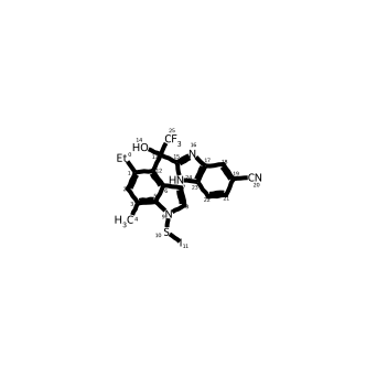 CCc1cc(C)c2c(ccn2SI)c1C(O)(c1nc2cc(C#N)ccc2[nH]1)C(F)(F)F